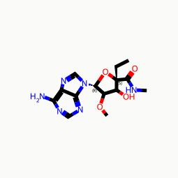 CC[C@]1(C(=O)NC)O[C@@H](n2cnc3c(N)ncnc32)C(OC)C1O